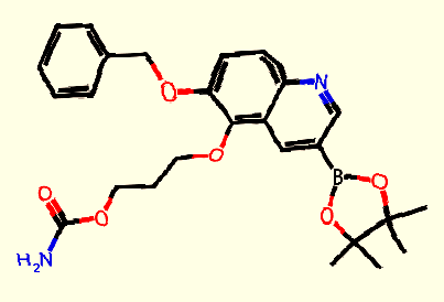 CC1(C)OB(c2cnc3ccc(OCc4ccccc4)c(OCCCOC(N)=O)c3c2)OC1(C)C